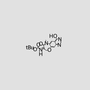 CN1C(=O)[C@@H](NC(=O)OC(C)(C)C)COc2cc3ncnc(O)c3cc21